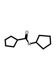 O=C([N]C1CCCC1)C1CCCC1